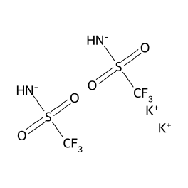 [K+].[K+].[NH-]S(=O)(=O)C(F)(F)F.[NH-]S(=O)(=O)C(F)(F)F